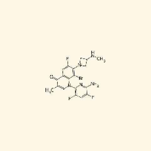 CNC1CN(c2c(F)cc3c(=O)c(C)cn(-c4nc(N)c(F)cc4F)c3c2Br)C1